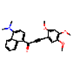 COc1cc(OC)c(OC)cc1C#CC(=O)c1ccc(N(C)C)c2ccccc12